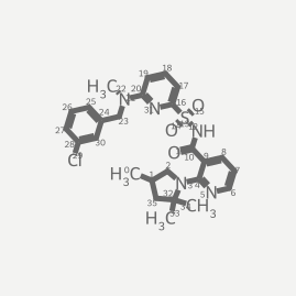 CC1CN(c2ncccc2C(=O)NS(=O)(=O)c2cccc(N(C)Cc3cccc(Cl)c3)n2)C(C)(C)C1